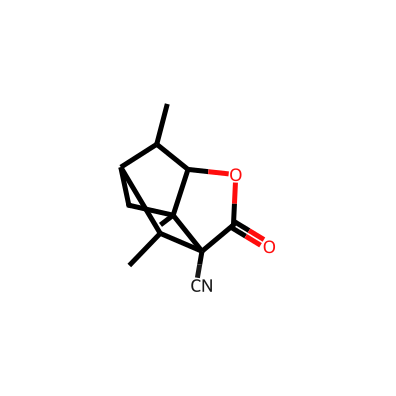 CC1C2CC3(C)C1OC(=O)C3(C#N)C2C